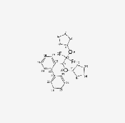 FC(F)(OC1CCCC1)C(OC1CCCC1)c1ccccc1-c1ccccc1